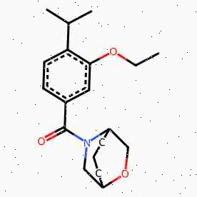 CCOc1cc(C(=O)N2CC3CCCC2CO3)ccc1C(C)C